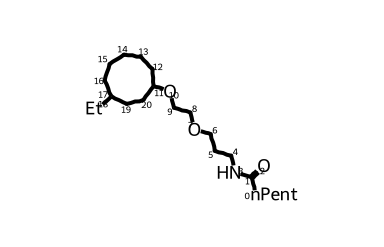 CCCCCC(=O)NCCCOCCOC1CCCCCC(CC)CC1